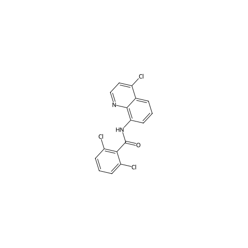 O=C(Nc1cccc2c(Cl)ccnc12)c1c(Cl)cccc1Cl